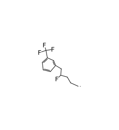 [CH2]CCC(F)Cc1cccc(C(F)(F)F)c1